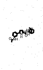 CC(=O)Nc1cccc(-c2ccc(C(=O)N[C@@H]3C4CCN(CC4)[C@H]3C)[nH]2)c1